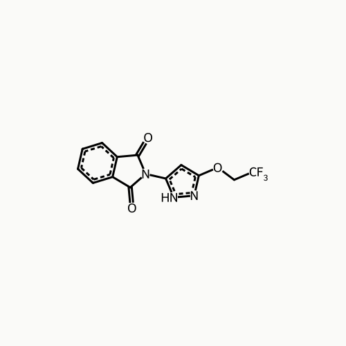 O=C1c2ccccc2C(=O)N1c1cc(OCC(F)(F)F)n[nH]1